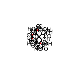 O=P(O)(O)C(CC(C(P(=O)(O)O)P(=O)(O)O)(C(P(=O)(O)O)P(=O)(O)O)C(P(=O)(O)O)P(=O)(O)O)P(=O)(O)O